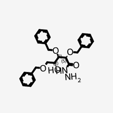 NNC(=O)[C@@H](OCc1ccccc1)[C@H](OCc1ccccc1)[C@H](O)COCc1ccccc1